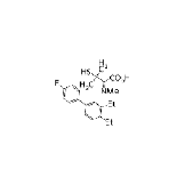 CCc1ccc(-c2ccc(F)cc2)cc1CC.CN[C@H](C(=O)O)C(C)(C)S